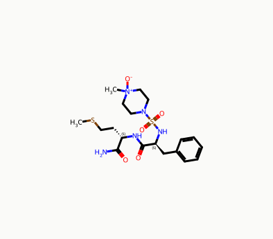 CSCC[C@H](NC(=O)[C@H](Cc1ccccc1)NS(=O)(=O)N1CC[N+](C)([O-])CC1)C(N)=O